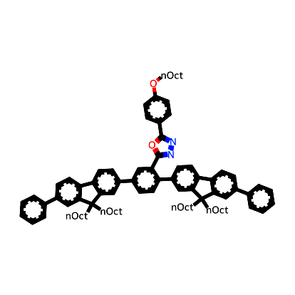 CCCCCCCCOc1ccc(-c2nnc(-c3cc(-c4ccc5c(c4)C(CCCCCCCC)(CCCCCCCC)c4cc(-c6ccccc6)ccc4-5)ccc3-c3ccc4c(c3)C(CCCCCCCC)(CCCCCCCC)c3cc(-c5ccccc5)ccc3-4)o2)cc1